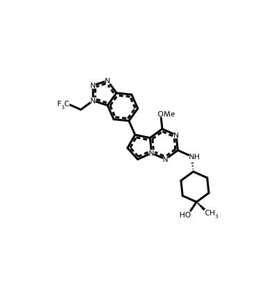 COc1nc(N[C@H]2CC[C@@](C)(O)CC2)nn2ccc(-c3ccc4nnn(CC(F)(F)F)c4c3)c12